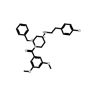 COc1cc(OC)cc(C(=O)N2CC[C@H](NCCc3ccc(Cl)cc3)C[C@@H]2Cc2ccccc2)c1